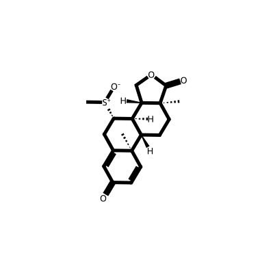 C[S+]([O-])[C@H]1CC2=CC(=O)C=C[C@]2(C)[C@H]2CC[C@]3(C)C(=O)OC[C@H]3[C@H]12